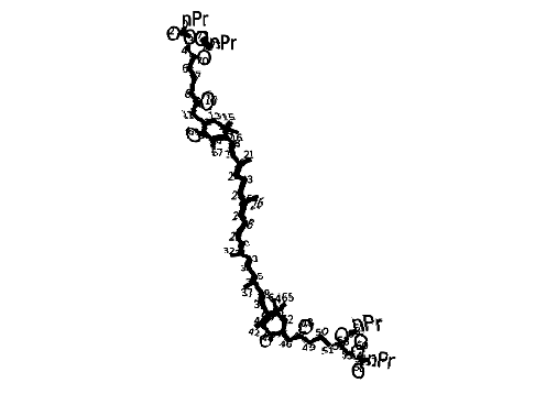 CCCC(=O)OC[C@H](CCCC(=O)CC1CC(C)(C)C(/C=C/C(C)=C/C=C/C(C)=C/C=C/C=C(C)/C=C/C=C(C)/C=C/C2=C(C)C(=O)C(CC(=O)CCC[C@@H](COC(=O)CCC)OC(=O)CCC)CC2(C)C)=C(C)C1=O)OC(=O)CCC